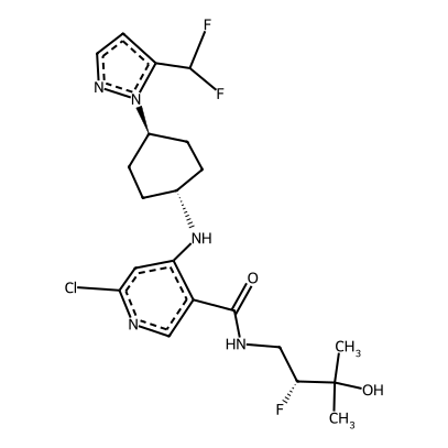 CC(C)(O)[C@H](F)CNC(=O)c1cnc(Cl)cc1N[C@H]1CC[C@H](n2nccc2C(F)F)CC1